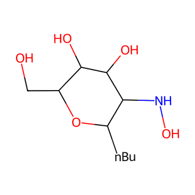 CCCCC1OC(CO)C(O)C(O)C1NO